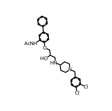 CC(=O)Nc1cc(-c2ccccc2)ccc1OCC(O)CNC1CCN(Cc2ccc(Cl)c(Cl)c2)CC1